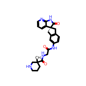 CC1(C(=O)NCC(=O)Nc2ccc3c(c2)C[C@@]2(C3)C(=O)Nc3ncccc32)CCCNC1